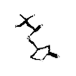 CC(F)(F)C(=O)OC1COC(=O)C1